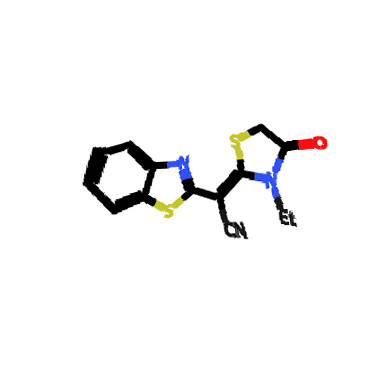 CCN1C(=O)CS/C1=C(/C#N)c1nc2ccccc2s1